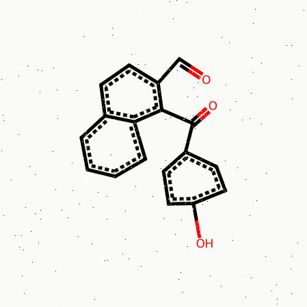 O=Cc1ccc2ccccc2c1C(=O)c1ccc(O)cc1